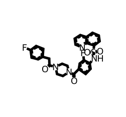 O=C(Cc1ccc(F)cc1)N1CCN(C(=O)c2ccc(NS(=O)(=O)c3cccc4cccnc34)c(F)c2)CC1